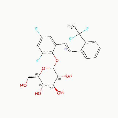 CC(F)(F)c1ccccc1/C=C/c1cc(F)cc(F)c1OC1O[C@H](CO)[C@@H](O)[C@H](O)[C@H]1O